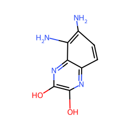 Nc1ccc2nc(O)c(O)nc2c1N